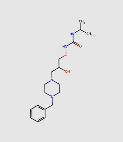 CC(C)NC(=O)NOCC(O)CN1CCN(Cc2ccccc2)CC1